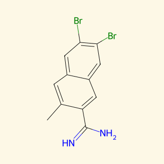 Cc1cc2cc(Br)c(Br)cc2cc1C(=N)N